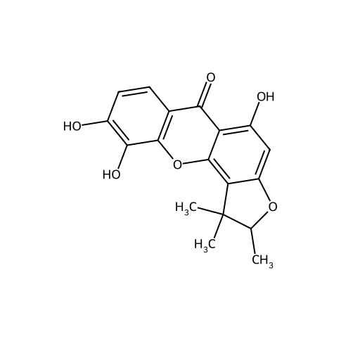 CC1Oc2cc(O)c3c(=O)c4ccc(O)c(O)c4oc3c2C1(C)C